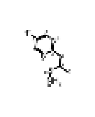 CC(Cc1ncc(F)cn1)SN